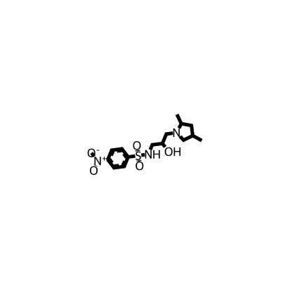 CC1CC(C)N(CC(O)CNS(=O)(=O)c2ccc([N+](=O)[O-])cc2)C1